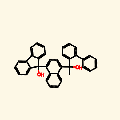 CC(O)(c1ccccc1-c1ccccc1)c1ccc(C2(O)c3ccccc3-c3ccccc32)c2ccccc12